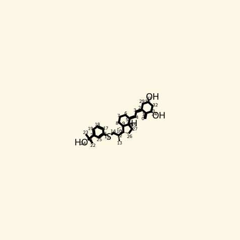 C=C1/C(=C\C=C2/CCC[C@]3(C)[C@@H]([C@@H](C)CSc4cccc(C(C)(C)O)c4)CC[C@@H]23)C[C@@H](O)C[C@@H]1O